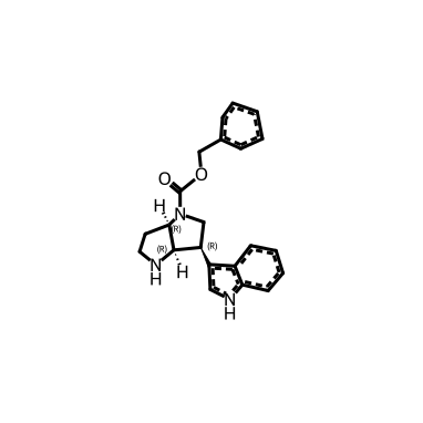 O=C(OCc1ccccc1)N1C[C@@H](c2c[nH]c3ccccc23)[C@H]2NCC[C@H]21